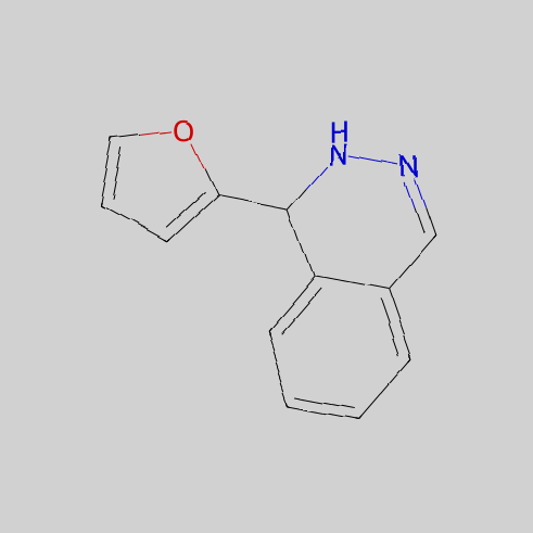 C1=NNC(c2ccco2)c2ccccc21